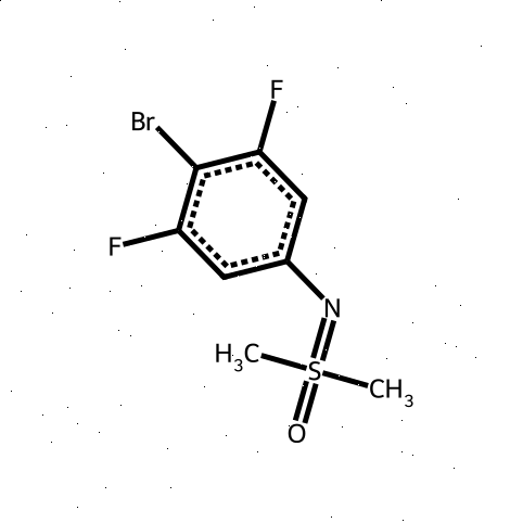 CS(C)(=O)=Nc1cc(F)c(Br)c(F)c1